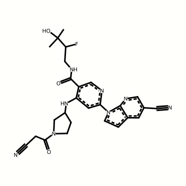 CC(C)(O)C(F)CNC(=O)c1cnc(-n2ccc3cc(C#N)cnc32)cc1NC1CCN(C(=O)CC#N)C1